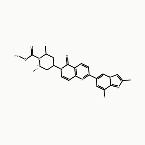 Cc1cn2cc(-c3ccc4c(=O)n(C5CC(C)N(C(=O)OC(C)(C)C)[C@@H](C)C5)ccc4n3)cc(F)c2n1